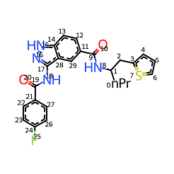 CCCC(Cc1cccs1)NC(=O)c1ccc2[nH]nc(NC(=O)c3ccc(F)cc3)c2c1